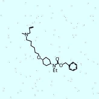 C=CCN(C)CCCCCCO[C@H]1CC[C@H](N(CC)C(=O)OCc2ccccc2)CC1